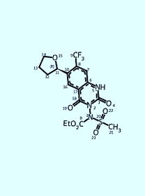 CCOC(=O)N(n1c(=O)[nH]c2cc(C(F)(F)F)c([C@H]3CCCO3)cc2c1=O)S(C)(=O)=O